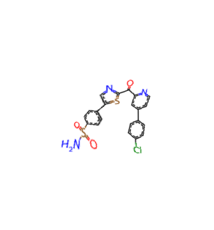 NS(=O)(=O)c1ccc(-c2cnc(C(=O)c3cc(-c4ccc(Cl)cc4)ccn3)s2)cc1